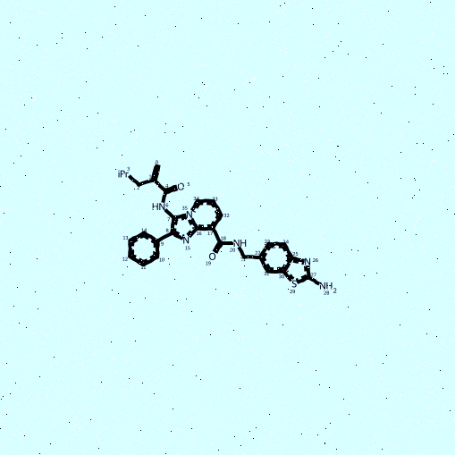 C=C(CC(C)C)C(=O)Nc1c(-c2ccccc2)nc2c(C(=O)NCc3ccc4nc(N)sc4c3)cccn12